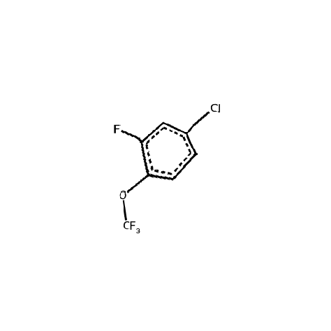 Fc1cc(Cl)ccc1OC(F)(F)F